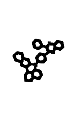 c1ccc(-c2nc3ccccc3nc2-c2ccc(N3c4cc5ccccc5cc4-c4cccc5cccc3c45)cc2)cc1